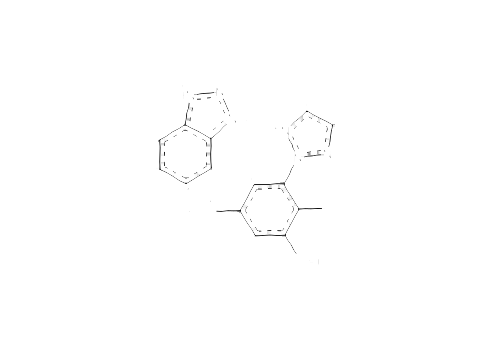 CC(C)(C)c1cc(C(=O)O)cc(-n2nccn2)c1O.c1ccc2[nH]nnc2c1